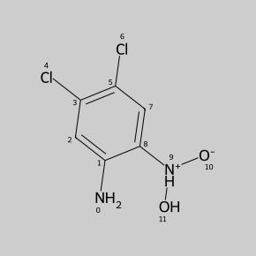 Nc1cc(Cl)c(Cl)cc1[NH+]([O-])O